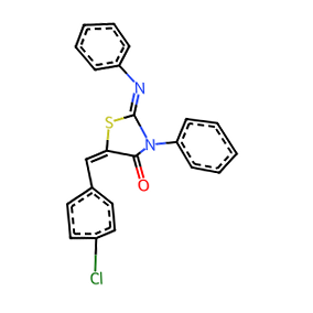 O=C1/C(=C\c2ccc(Cl)cc2)S/C(=N\c2ccccc2)N1c1ccccc1